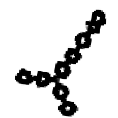 c1ccc(-c2ccc(N(c3ccc(-c4ccccc4)cc3)c3ccc(-c4ccc(-c5ccc(-c6cc7ccccc7o6)cc5)cc4)cc3)cc2)cc1